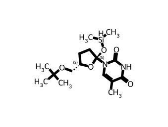 Cc1cn([C@@]2(O[SiH](C)C)CC[C@@H](COC(C)(C)C)O2)c(=O)[nH]c1=O